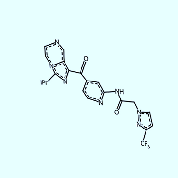 CC(C)c1nc(C(=O)c2ccnc(NC(=O)Cn3ccc(C(F)(F)F)n3)c2)c2cnccn12